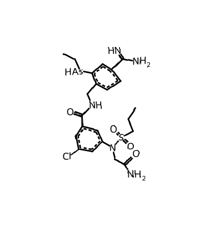 CCCS(=O)(=O)N(CC(N)=O)c1cc(Cl)cc(C(=O)NCc2ccc(C(=N)N)cc2[AsH]CC)c1